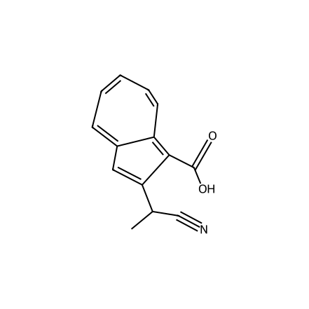 CC(C#N)c1cc2cccccc-2c1C(=O)O